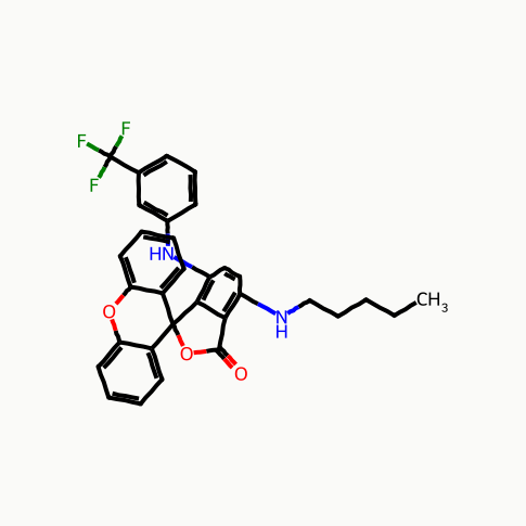 CCCCCNc1ccc(Nc2cccc(C(F)(F)F)c2)c2c1C(=O)OC21c2ccccc2Oc2ccccc21